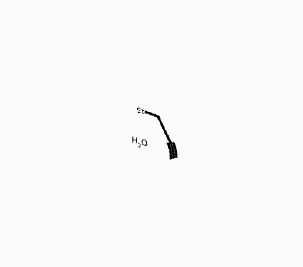 C#CCCC.O